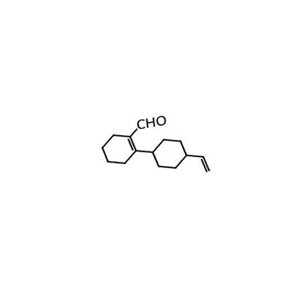 C=CC1CCC(C2=C(C=O)CCCC2)CC1